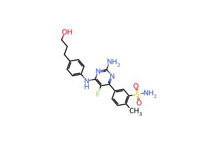 Cc1ccc(-c2nc(N)nc(Nc3ccc(CCCO)cc3)c2F)cc1S(N)(=O)=O